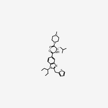 CCC(CC)n1c(Cc2cccs2)nc2cc(C(=O)N[C@@H](CC(C)C)C(=O)N3CCN(C)CC3)ccc21